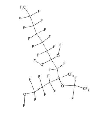 FOC(F)(F)C(F)(F)C(F)(F)[N+](OC(F)(F)C(F)(F)F)(C(F)(F)F)C(F)(F)C(OF)(OF)C(F)(F)C(F)(F)C(F)(F)C(F)(F)C(F)(F)C(F)(F)F